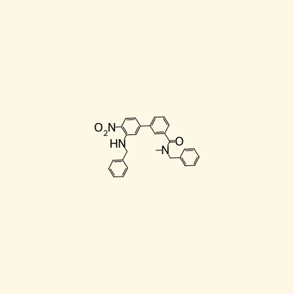 CN(Cc1ccccc1)C(=O)c1cccc(-c2ccc([N+](=O)[O-])c(NCc3ccccc3)c2)c1